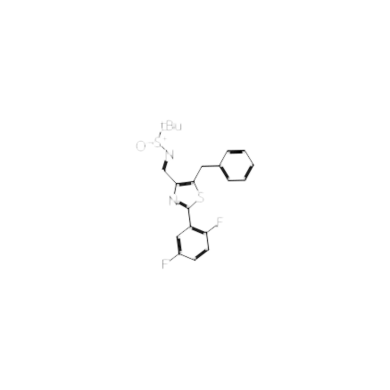 CC(C)(C)[S+]([O-])/N=C/c1nc(-c2cc(F)ccc2F)sc1Cc1ccccc1